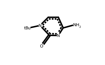 CC(C)(C)n1ccc(N)nc1=O